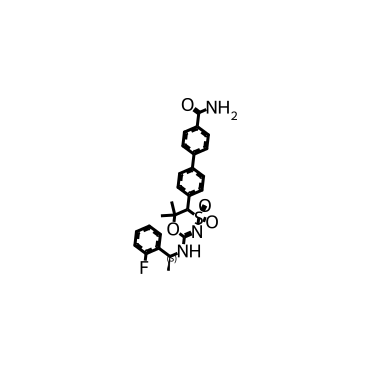 C[C@H](NC1=NS(=O)(=O)C(c2ccc(-c3ccc(C(N)=O)cc3)cc2)C(C)(C)O1)c1ccccc1F